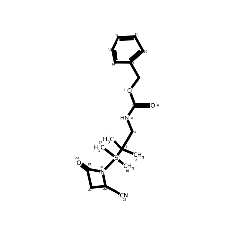 CC(C)(CNC(=O)OCc1ccccc1)[Si](C)(C)N1C(=O)CC1C#N